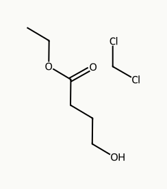 CCOC(=O)CCCO.ClCCl